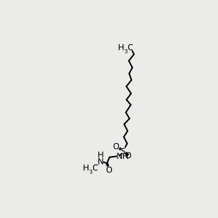 CCCCCCCCCCCCCCCCS(=O)(=O)NCC(=O)NC